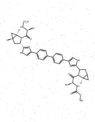 CC(C)[C@H](NC(=O)OC(C)(C)C)C(=O)N1C(c2nc(-c3ccc(-c4ccc(-c5c[nH]c([C@@H]6C[C@@H]7C[C@H]7N6C(=O)[C@@H](NC(=O)O)C(C)C)n5)cc4)cc3)c[nH]2)CC2C[C@H]21